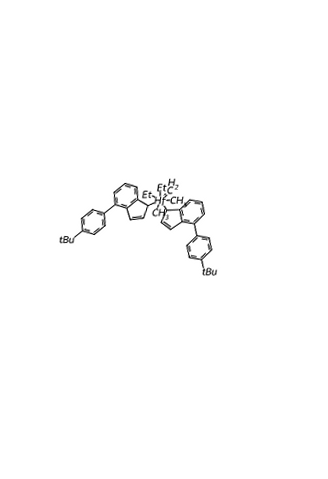 [CH2]=[Hf]([CH3])([CH3])([CH2]C)([CH2]C)([CH]1C=Cc2c(-c3ccc(C(C)(C)C)cc3)cccc21)[CH]1C=Cc2c(-c3ccc(C(C)(C)C)cc3)cccc21